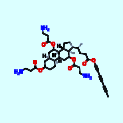 CC#CC#CC#COC(=O)CC[C@@H](C)[C@H]1CC[C@H]2[C@@H]3[C@H](OC(=O)CCN)C[C@@H]4C[C@H](OC(=O)CCN)CC[C@]4(C)[C@H]3C[C@H](OC(=O)CCN)[C@]12C